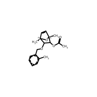 CC(=O)OC1C(OCc2ccccc2C)[C@]2(C)C=C[C@@]1(C)O2